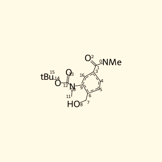 CNC(=O)c1ccc(CO)c(N(C)C(=O)OC(C)(C)C)c1